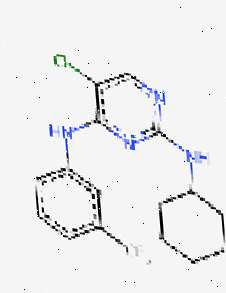 FC(F)(F)c1cccc(Nc2nc(NC3CCCCC3)ncc2Cl)c1